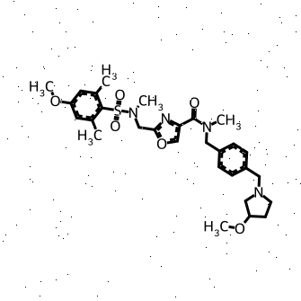 COc1cc(C)c(S(=O)(=O)N(C)Cc2nc(C(=O)N(C)Cc3ccc(CN4CCC(OC)C4)cc3)co2)c(C)c1